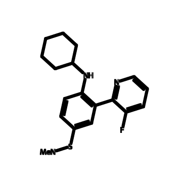 CNSc1ccc(NC2CCCCC2)c(-c2ncccc2F)c1